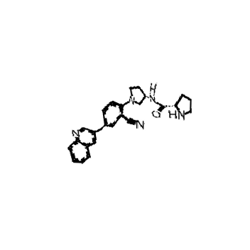 N#Cc1cc(-c2cnc3ccccc3c2)ccc1N1CC[C@H](NC(=O)[C@@H]2CCCN2)C1